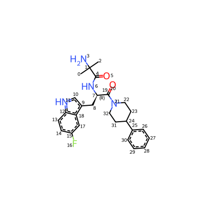 CC(C)(N)C(=O)N[C@H](Cc1c[nH]c2ccc(F)cc12)C(=O)N1CCC(c2ccccc2)CC1